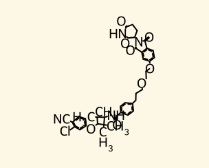 CC1(C)C(NC(=O)c2ccc(CCCOCCOc3ccc4c(c3)C(=O)N(C3CCC(=O)NC3=O)C4=O)cc2)C(C)(C)C1Oc1ccc(C#N)c(Cl)c1